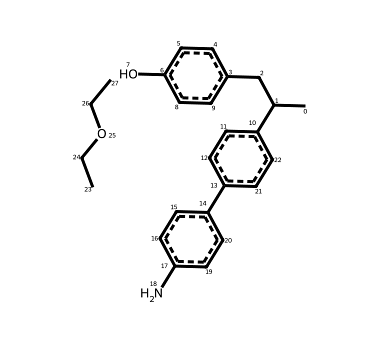 CC(Cc1ccc(O)cc1)c1ccc(-c2ccc(N)cc2)cc1.CCOCC